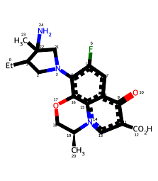 CCC1CN(c2c(F)cc3c(=O)c(C(=O)O)cn4c3c2OC[C@@H]4C)CC1(C)N